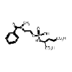 CN(CCOP(=O)(O)N[C@@H](CCC(=O)O)C(=O)O)C(=O)c1ccccc1